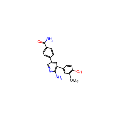 COc1cc(-c2cc(-c3ccc(C(N)=O)cc3)cnc2N)ccc1O